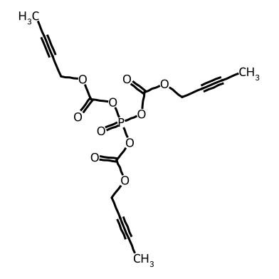 CC#CCOC(=O)OP(=O)(OC(=O)OCC#CC)OC(=O)OCC#CC